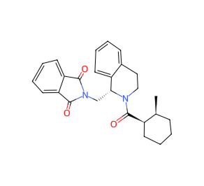 C[C@H]1CCCC[C@H]1C(=O)N1CCc2ccccc2[C@H]1CN1C(=O)c2ccccc2C1=O